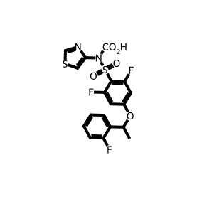 CC(Oc1cc(F)c(S(=O)(=O)N(C(=O)O)c2cscn2)c(F)c1)c1ccccc1F